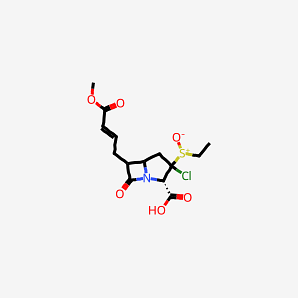 CC[S+]([O-])C1(Cl)CC2C(C/C=C/C(=O)OC)C(=O)N2[C@H]1C(=O)O